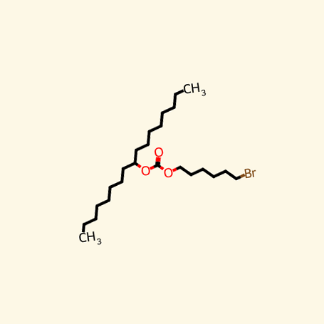 CCCCCCCCC(CCCCCCCC)OC(=O)OCCCCCCBr